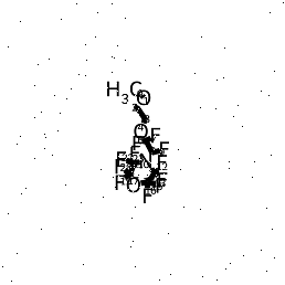 COCCOC(F)(F)C(F)N1C(F)(F)C(F)(F)OC(F)(F)C1(F)F